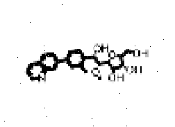 CO[C@@H](C1OC(CO)[C@@H](O)C1O)[C@H](O)c1ccc(-c2ccc3cccnc3c2)cc1C